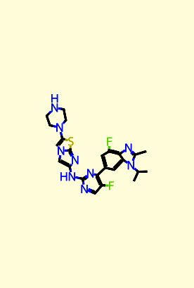 Cc1nc2c(F)cc(-c3nc(Nc4cn5cc(N6CCNCC6)sc5n4)ncc3F)cc2n1C(C)C